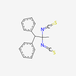 CC(N=C=S)(N=C=S)C(c1ccccc1)c1ccccc1